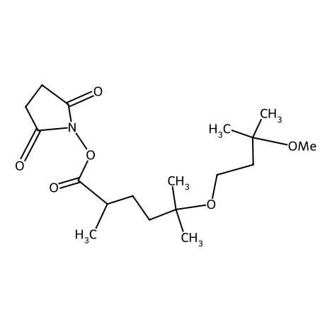 COC(C)(C)CCOC(C)(C)CCC(C)C(=O)ON1C(=O)CCC1=O